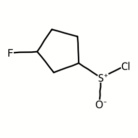 [O-][S+](Cl)C1CCC(F)C1